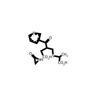 CC(SCC(CC(=O)O)C(=O)c1cccnc1)C(=O)O.O=C1CN1